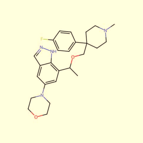 CC(OCC1(c2ccc(F)cc2)CCN(C)CC1)c1cc(N2CCOCC2)cc2cn[nH]c12